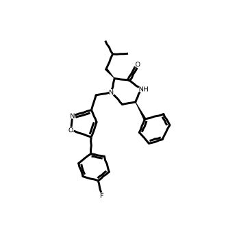 CC(C)C[C@H]1C(=O)N[C@@H](c2ccccc2)CN1Cc1cc(-c2ccc(F)cc2)on1